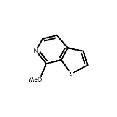 COc1nccc2ccsc12